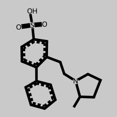 CC1CCCN1CCc1cc(S(=O)(=O)O)ccc1-c1ccccc1